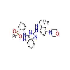 COc1cc(N2CCOCC2)ccc1Nc1nc(Nc2ccccc2S(=O)(=O)C(C)C)c2ccccc2n1